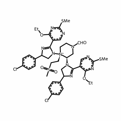 CCOc1nc(SC)ncc1C1=NC(c2ccc(Cl)cc2)CN1[C@@H]1CN(C=O)CC[N@@+]1(CCS(C)(=O)=O)N1CC(c2ccc(Cl)cc2)N=C1c1cnc(SC)nc1OCC